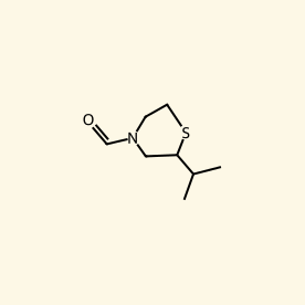 CC(C)C1CN(C=O)CCS1